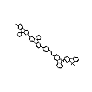 Cc1ccc2c(c1)C1(CCCC1)c1cc(-c3ccc4c(c3)C3(CCCC3)c3cc(-c5ccc(/C=C/c6ccc7c(c6)c6ccccc6n7-c6ccc7c(c6)C(C)(C)C6C=CC=CC76)cc5)ccc3-4)ccc1-2